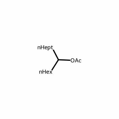 CCCCCCCC(CCCCCC)OC(C)=O